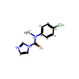 CCCN(C(=S)n1ccnc1)c1ccc(Cl)cc1